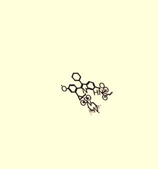 CCS(=O)(=O)NC(=O)c1ccc2c(C3CCCCC3)c3n(c2c1)CC1(S(=O)(=O)N2C[C@@H](C)N(C)[C@@H](C)C2)CC1c1cc(OC)ccc1-3